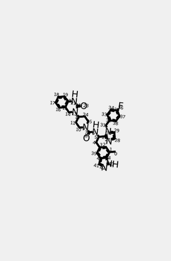 Cc1cc(CC(NC(=O)N2CCC(N3Cc4ccccc4NC3=O)CC2)c2nccn2Cc2ccc(F)cc2)cc2cn[nH]c12